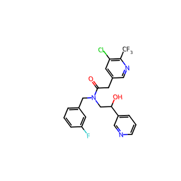 O=C(Cc1cnc(C(F)(F)F)c(Cl)c1)N(Cc1cccc(F)c1)CC(O)c1cccnc1